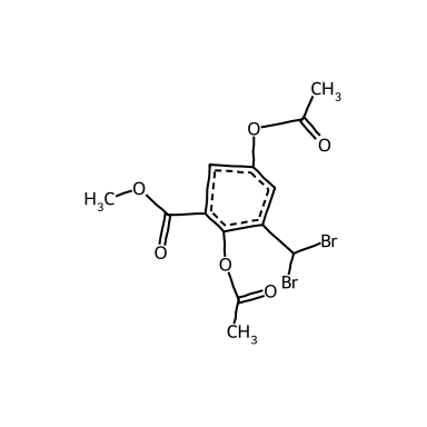 COC(=O)c1cc(OC(C)=O)cc(C(Br)Br)c1OC(C)=O